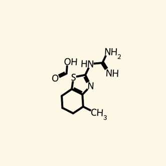 CC1CCCc2sc(NC(=N)N)nc21.O=CO